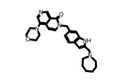 O=c1c2cncc(N3CCOCC3)c2ccn1Cc1ccc2cc(CN3CCCCCC3)[nH]c2c1